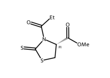 CCC(=O)N1C(=S)SC[C@H]1C(=O)OC